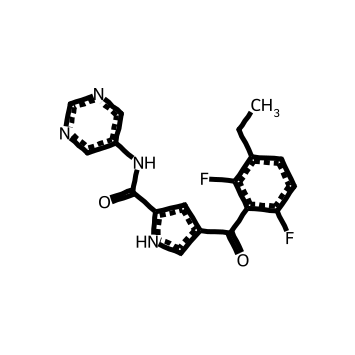 CCc1ccc(F)c(C(=O)c2c[nH]c(C(=O)Nc3cncnc3)c2)c1F